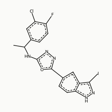 CC(Nc1nnc(-c2ccc3[nH]nc(I)c3c2)o1)c1ccc(F)c(Cl)c1